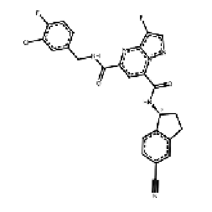 N#Cc1ccc2c(c1)CC[C@@H]2NC(=O)c1cc(C(=O)NCc2ccc(F)c(Cl)c2)nc2c(F)cnn12